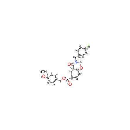 COc1ccc(COC(=O)c2ccc3c(c2)C(=O)N(Cc2ccc(F)cc2)CO3)cc1